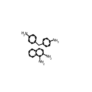 Nc1ccc(Cc2ccc(N)cc2)cc1.Nc1ccc2ccccc2c1N